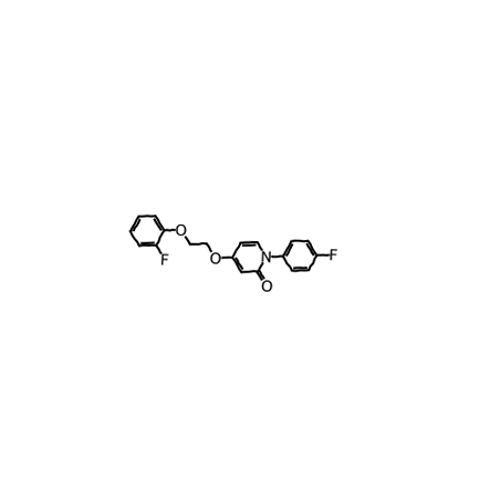 O=c1cc(OCCOc2ccccc2F)ccn1-c1ccc(F)cc1